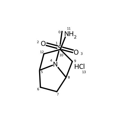 CS(=O)(=O)N1C2CCC1CC(N)C2.Cl